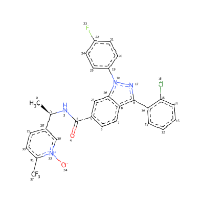 C[C@@H](NC(=O)c1ccc2c(-c3ccccc3Cl)nn(-c3ccc(F)cc3)c2c1)c1ccc(C(F)(F)F)[n+]([O-])c1